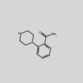 NC(=O)c1ncccc1N1CCNCC1